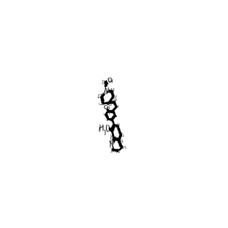 Cc1c(-c2ccc3c(c2)CCC2(CCN(C=O)CC2)O3)ccc2cccnc12